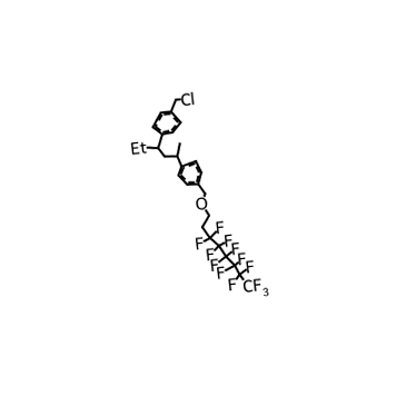 CCC(CC(C)c1ccc(COCCC(F)(F)C(F)(F)C(F)(F)C(F)(F)C(F)(F)C(F)(F)F)cc1)c1ccc(CCl)cc1